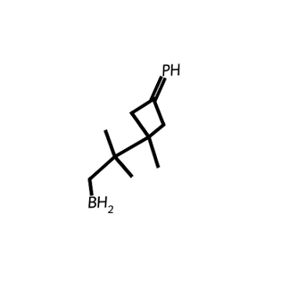 BCC(C)(C)C1(C)CC(=P)C1